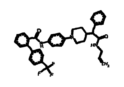 C=CCNC(=O)C(c1ccccc1)C1CCN(c2ccc(NC(=O)c3ccccc3-c3ccc(C(F)(F)F)cc3)cc2)CC1